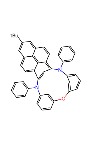 CC(C)(C)c1cc2ccc3c4cc(c5ccc(c1)c2c35)N(c1ccccc1)c1cccc(c1)Oc1cccc(c1)N4c1ccccc1